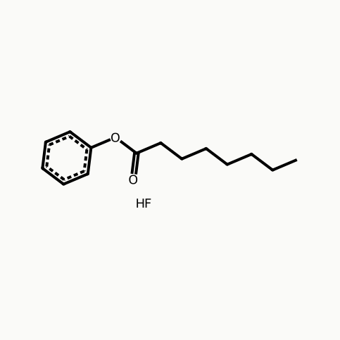 CCCCCCCC(=O)Oc1ccccc1.F